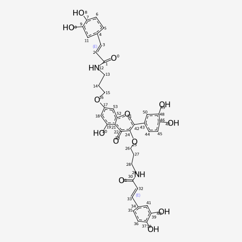 O=C(/C=C/c1ccc(O)c(O)c1)NCCCOc1cc(O)c2c(=O)c(OCCCNC(=O)/C=C/c3ccc(O)c(O)c3)c(-c3ccc(O)c(O)c3)oc2c1